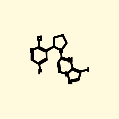 Fc1cnc(Cl)c([C@H]2CCCN2c2ccn3ncc(I)c3n2)c1